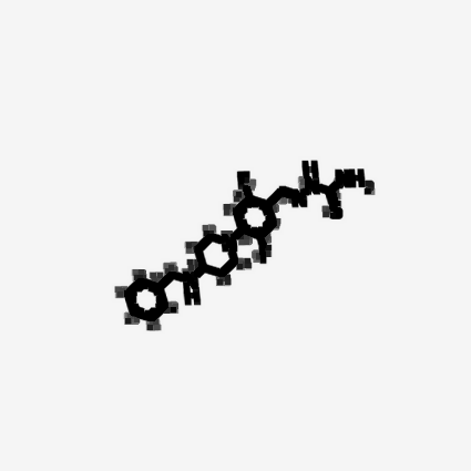 NC(=S)N/N=C/c1cc(F)c(N2CCC(NCc3ccccc3)CC2)cc1F